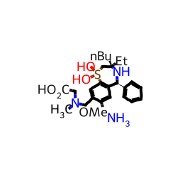 CCCC[C@]1(CC)CS(O)(O)c2cc(CN(C)CC(=O)O)c(OC)cc2[C@@H](c2ccccc2)N1.N